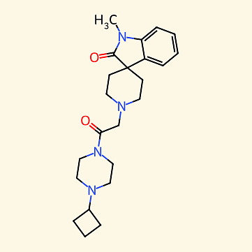 CN1C(=O)C2(CCN(CC(=O)N3CCN(C4CCC4)CC3)CC2)c2ccccc21